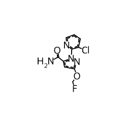 NC(=O)c1cc(OCF)nn1-c1ncccc1Cl